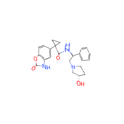 O=C(NC(CN1CC[C@H](O)C1)c1ccccc1)C1(c2ccc3oc(=O)[nH]c3c2)CC1